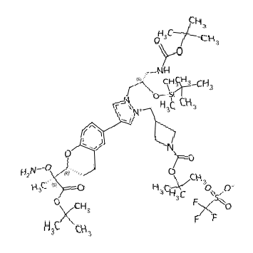 CC(C)(C)OC(=O)NC[C@@H](Cn1cc(-c2ccc3c(c2)CC[C@H]([C@](C)(ON)C(=O)OC(C)(C)C)O3)c[n+]1CC1CN(C(=O)OC(C)(C)C)C1)O[Si](C)(C)C(C)(C)C.O=S(=O)([O-])C(F)(F)F